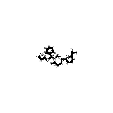 CC(=O)c1cccc(N2CCC(C)N(C(=O)c3ccccc3-n3nccn3)CC2)n1